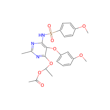 COc1ccc(S(=O)(=O)Nc2nc(C)nc(OC(C)OC(C)=O)c2Oc2cccc(OC)c2)cc1